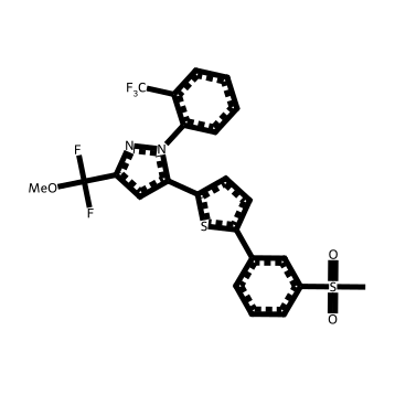 COC(F)(F)c1cc(-c2ccc(-c3cccc(S(C)(=O)=O)c3)s2)n(-c2ccccc2C(F)(F)F)n1